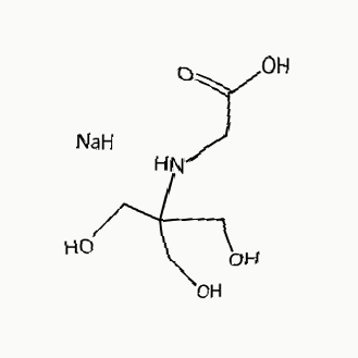 O=C(O)CNC(CO)(CO)CO.[NaH]